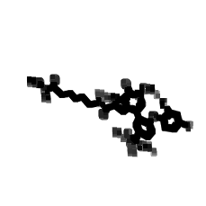 Cn1cc(-c2cc(C(C)(C)O)ccc2Oc2ccc(F)cc2F)c2cc(C(=O)NCCCCCC(=O)NO)[nH]c2c1=O